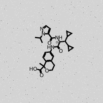 CC(C)n1nccc1C(=O)N[C@H](C(=O)Nc1ccc2c(c1)CCOC2(C)C(=O)O)C(C1CC1)C1CC1